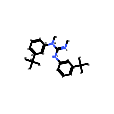 CN=C(Nc1cccc(C(C)(C)C)c1)N(C)c1cccc(C(C)(C)C)c1